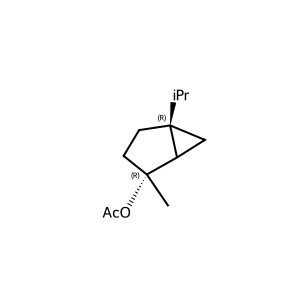 CC(=O)O[C@]1(C)CC[C@]2(C(C)C)CC21